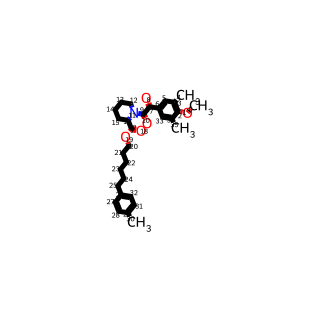 COc1c(C)cc(C(=O)C(=O)N2CCCCC2C(=O)OCCCCCCc2ccc(C)cc2)cc1C